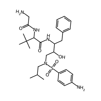 CC(C)CN(CC(O)C(Cc1ccccc1)NC(=O)C(NC(=O)CN)C(C)(C)C)S(=O)(=O)c1ccc(N)cc1